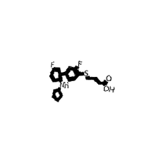 O=C(O)CCCSc1ccc(-c2cc(F)ccc2NC2CCCC2)cc1F